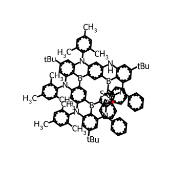 Cc1cc(C)c(N2c3cc4c(cc3B3c5cc6c(cc5N(c5c(C)cc(C)cc5C)c5cc(C(C)(C)C)cc2c53)N(c2c(C)cc(C)cc2C)c2cc(C(C)(C)C)cc3c2B6c2sc5ccccc5c2N3c2ccccc2)B2c3sc5ccccc5c3N(c3ccccc3)c3cc(C(C)(C)C)cc(c32)N4)c(C)c1